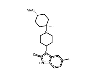 CO[C@H]1CC[C@](C)(N2CCC(n3c(=O)[nH]c4ccc(Cl)cc43)CC2)CC1